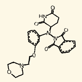 O=C1CCC(N(c2cccc(OCCN3CCOCC3)c2)N2C(=O)c3ccccc3C2=O)C(=O)N1